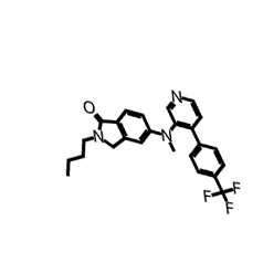 CCCCN1Cc2cc(N(C)c3cnccc3-c3ccc(C(F)(F)F)cc3)ccc2C1=O